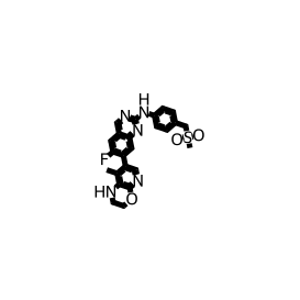 Cc1c(-c2cc3nc(Nc4ccc(CS(C)(=O)=O)cc4)ncc3cc2F)cnc2c1NCCO2